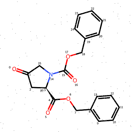 O=C1C[C@H](C(=O)OCc2ccccc2)N(C(=O)OCc2ccccc2)C1